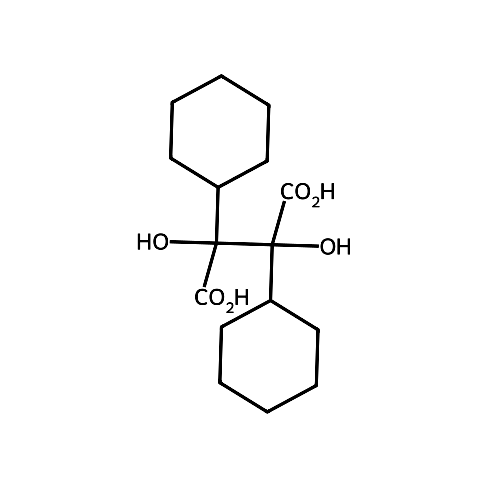 O=C(O)C(O)(C1CCCCC1)C(O)(C(=O)O)C1CCCCC1